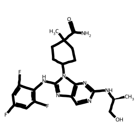 C[C@@H](CO)Nc1ncc2nc(Nc3c(F)cc(F)cc3F)n(C3CCC(C)(C(N)=O)CC3)c2n1